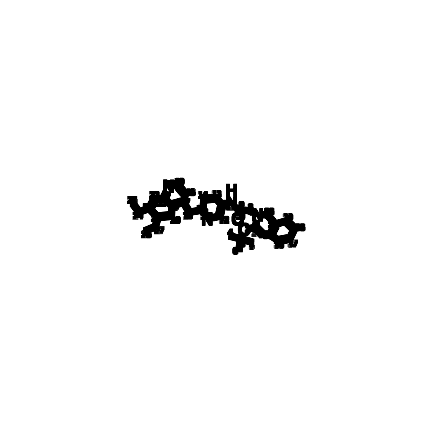 C=C(OC(C)(C)C)N(CC(=O)Nc1ccc(Cc2ccnc3cc(CC)c(CC)cc23)nc1)Cc1ccccc1